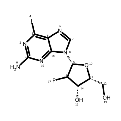 Nc1nc(I)c2ncn([C@@H]3O[C@H](CO)[C@H](O)C3F)c2n1